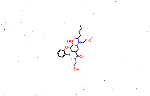 CCCCC(=O)N(CCOC)[C@@H]1CC(C(=O)NCCO)=C[C@H](Oc2ccccc2I)[C@H]1O